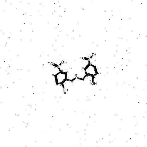 O=[N+]([O-])c1ccc(O)c(COCc2cc([N+](=O)[O-])ccc2O)c1